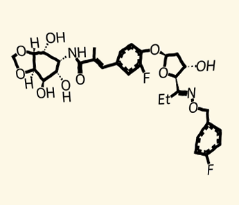 CC/C(=N\OCc1ccc(F)cc1)[C@H]1O[C@@H](Oc2ccc(/C=C(\C)C(=O)N[C@@H]3[C@H](O)[C@@H](O)[C@H]4OCO[C@H]4[C@@H]3O)cc2F)C[C@@H]1O